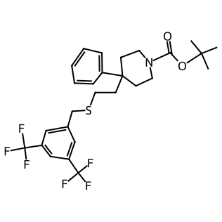 CC(C)(C)OC(=O)N1CCC(CCSCc2cc(C(F)(F)F)cc(C(F)(F)F)c2)(c2ccccc2)CC1